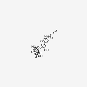 CCCCCC(=O)Nc1ccn([C@H]2C[C@H](O)[C@@H](COP(=O)(O)OP(=O)(O)OP(=O)(O)O)O2)c(=O)n1